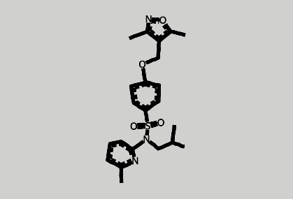 Cc1cccc(N(CC(C)C)S(=O)(=O)c2ccc(OCc3c(C)noc3C)cc2)n1